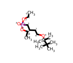 CCOP(=O)(CCCCO[Si](C)(C)C(C)(C)C)OCC